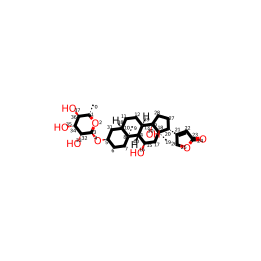 C[C@@H]1O[C@@H](O[C@H]2CC[C@@]3(C)[C@H](CC[C@@H]4[C@@H]3[C@H](O)C[C@]3(C)[C@@H](C5=CC(=O)OC5)CC[C@]43O)C2)[C@H](O)[C@H](O)[C@H]1O